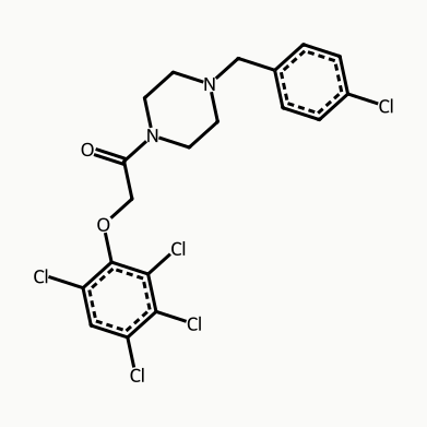 O=C(COc1c(Cl)cc(Cl)c(Cl)c1Cl)N1CCN(Cc2ccc(Cl)cc2)CC1